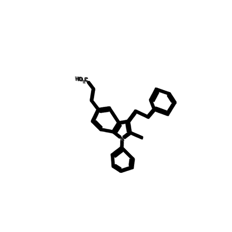 Cc1c(CCc2ccccc2)c2cc(CCC(=O)O)ccc2n1-c1ccccc1